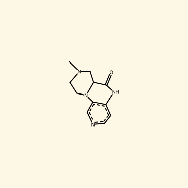 CN1CCN2c3cnccc3NC(=O)C2C1